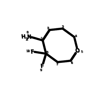 NC1CCCOCCC1(F)F